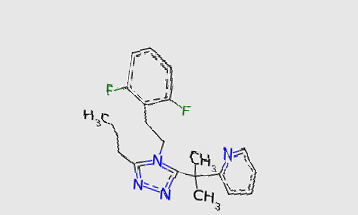 CCCc1nnc(C(C)(C)c2ccccn2)n1CCc1c(F)cccc1F